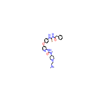 CN(C)CCN1CCC(N(C)C(=O)Nc2cc(Oc3ccc(NC(=S)NC(=O)Cc4ccccc4)cc3)ccn2)CC1